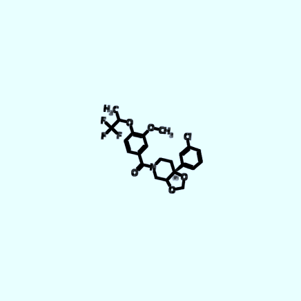 COc1cc(C(=O)N2CC[C@]3(c4cccc(Cl)c4)OCOC3C2)ccc1OC(C)C(F)(F)F